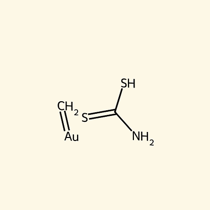 NC(=S)S.[CH2]=[Au]